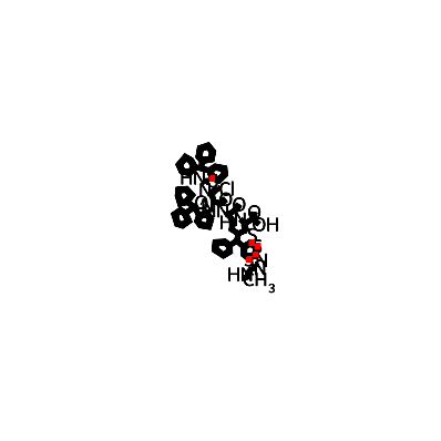 CNc1nnc(SCSC2=C(C(=O)O)N3C(=O)[C@@H](NC(=O)C(=NOC(c4ccccc4)(c4ccccc4)c4ccccc4)c4nc(NC(c5ccccc5)(c5ccccc5)c5ccccc5)sc4Cl)[C@H]3CC2C(c2ccccc2)c2ccccc2)s1